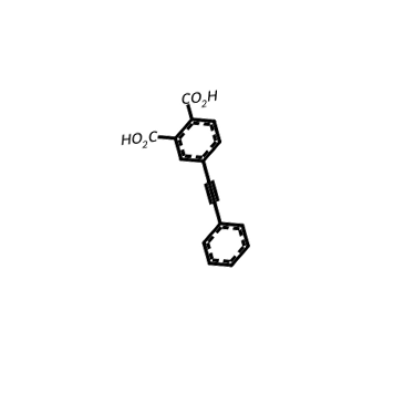 O=C(O)c1ccc(C#Cc2ccccc2)cc1C(=O)O